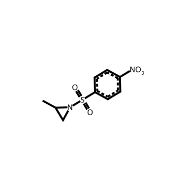 CC1CN1S(=O)(=O)c1ccc([N+](=O)[O-])cc1